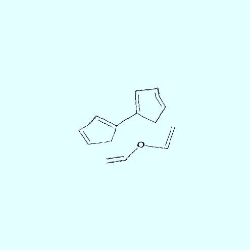 C1=CCC(C2=CC=CC2)=C1.C=COC=C